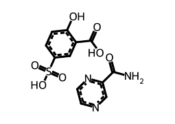 NC(=O)c1cnccn1.O=C(O)c1cc(S(=O)(=O)O)ccc1O